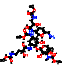 CN(C(=O)OC(C)(C)C)[C@@H]1[C@@H](O)[C@@H](O[C@@H]2[C@@H](O)[C@H](C3OC(CN)=CC[C@H]3NC(=O)C(O)CNC(=O)OC(C)(C)C)[C@@H](NC(=O)OC(C)(C)C)C[C@H]2NC(=O)[C@@H](O)CCNC(=O)OC(C)(C)C)OC[C@]1(C)O